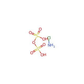 NCl.O=S(=O)(O)OS(=O)(=O)O